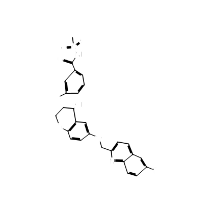 CS(=O)(=O)NC(=O)c1cccc(C[C@H]2COc3ccc(OCc4ccc5cc(F)ccc5n4)cc3[C@H]2O)c1